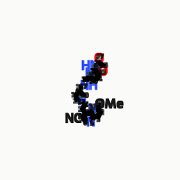 COc1ccc2ncc(C#N)c(CCN3CC[C@@H](CNCc4ccc5c(n4)NC(=O)CO5)C3)c2n1